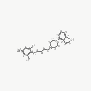 Fc1cc(Br)cc(F)c1OCCCCN1CCN(c2cccc3[nH]ccc23)CC1